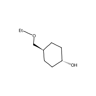 CCOC[C@H]1CC[C@H](O)CC1